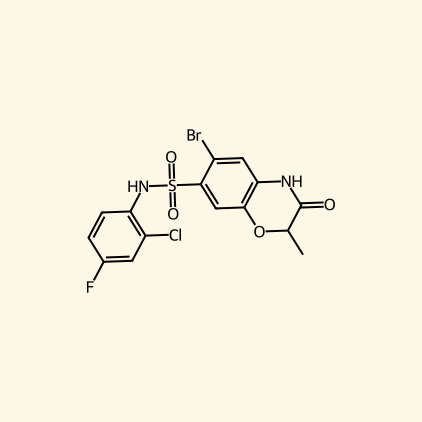 CC1Oc2cc(S(=O)(=O)Nc3ccc(F)cc3Cl)c(Br)cc2NC1=O